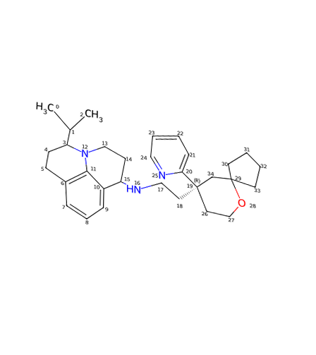 CC(C)C1CCc2cccc3c2N1CCC3NCC[C@@]1(c2ccccn2)CCOC2(CCCC2)C1